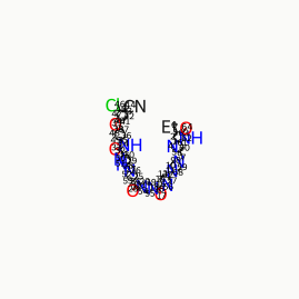 CCc1cc2ncc(CN3CCN(c4ccc(C(=O)N5CCN(C(=O)C6CCN(c7ccc(C(=O)NC8CCC(Oc9ccc(C#N)c(Cl)c9)CC8)nn7)CC6)CC5)nc4)CC3)cc2[nH]c1=O